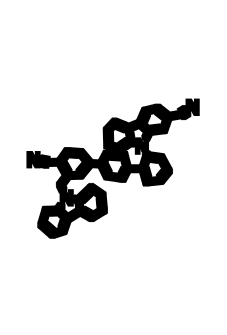 N#Cc1ccc2c3ccccc3n(-c3ccccc3-c3ccc(-c4ccc(C#N)c(Cn5c6ccccc6c6ccccc65)c4)cc3)c2c1